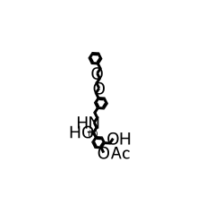 CC(=O)Oc1ccc([C@@H](O)CNCCc2cccc(COCCOCc3ccccc3)c2)cc1CO